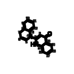 O=c1cc(N2C=CCc3ccccc32)[nH]c2ccccc12